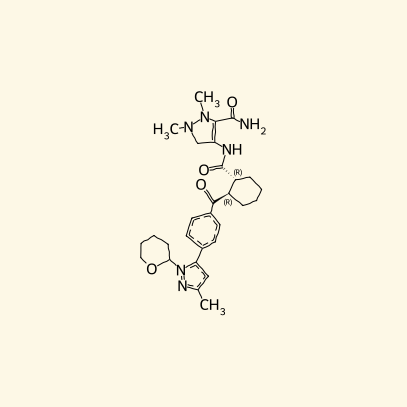 Cc1cc(-c2ccc(C(=O)[C@@H]3CCCC[C@H]3C(=O)NC3=C(C(N)=O)N(C)N(C)C3)cc2)n(C2CCCCO2)n1